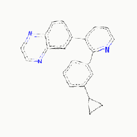 c1cc(-c2ncccc2-c2ccc3nccnc3c2)cc(C2CC2)c1